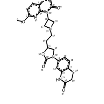 COc1ccc2ncc(=O)n(C3CN(CCC4CN(c5ccc6c(c5)NC(=O)CS6)C(=O)O4)C3)c2n1